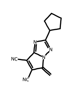 C=c1c(C#N)c(C#N)c2nc(C3CCCC3)nn12